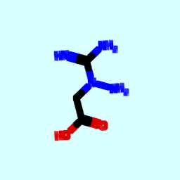 N=C(N)N(N)CC(=O)O